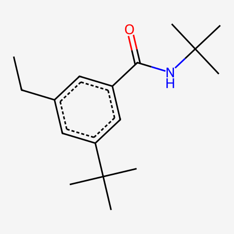 CCc1cc(C(=O)NC(C)(C)C)cc(C(C)(C)C)c1